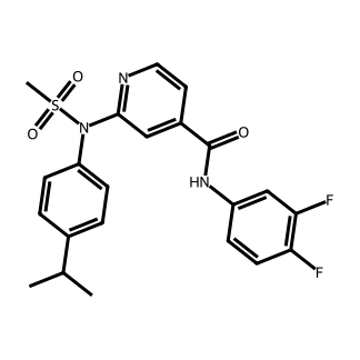 CC(C)c1ccc(N(c2cc(C(=O)Nc3ccc(F)c(F)c3)ccn2)S(C)(=O)=O)cc1